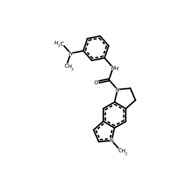 CN(C)c1cccc(NC(=O)N2CCc3cc4c(ccn4C)cc32)c1